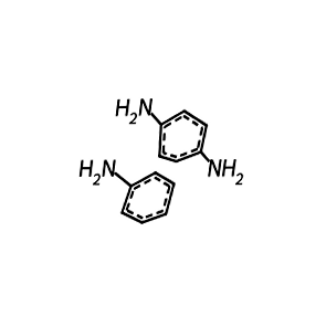 Nc1ccc(N)cc1.Nc1ccccc1